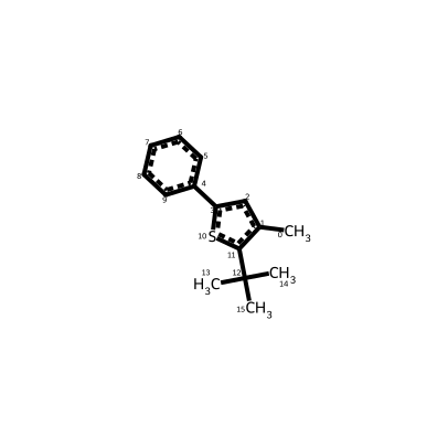 Cc1cc(-c2ccccc2)sc1C(C)(C)C